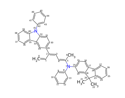 C=C/C(=C\C=C(/C)N(c1ccccc1)c1ccc2c(c1)C(C)(C)c1ccccc1-2)c1ccc2c(c1)c1ccccc1n2-c1ccccc1